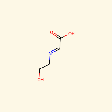 O=C(O)C=NCCO